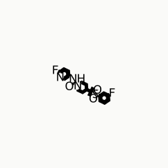 CC(C)(C1CCN(C(=O)Nc2ccc(F)nc2)CC1)S(=O)(=O)c1cccc(F)c1